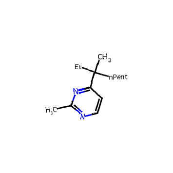 CCCCCC(C)(CC)c1ccnc(C)n1